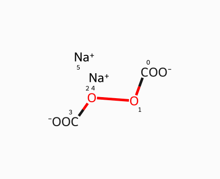 O=C([O-])OOC(=O)[O-].[Na+].[Na+]